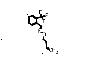 C=CCCON=[C]c1ccccc1C(F)(F)F